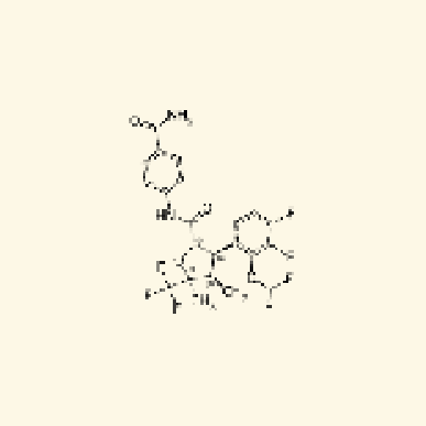 C[C@@H]1[C@H](c2ccc(F)c(F)c2OC(F)F)[C@@H](C(=O)Nc2ccc(C(N)=O)cc2)O[C@]1(C)C(F)(F)F